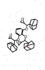 c1cc(OC(C2CO2)C23CC4CC(CC(C4)C2)C3)c(OC(C2CO2)C23CC4CC(CC(C4)C2)C3)c(OC(C2CO2)C23CC4CC(CC(C4)C2)C3)c1